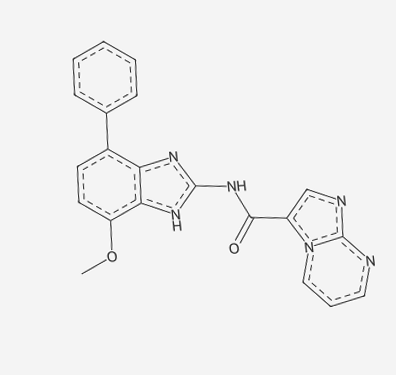 COc1ccc(-c2ccccc2)c2nc(NC(=O)c3cnc4ncccn34)[nH]c12